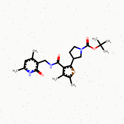 Cc1cc(C)c(CNC(=O)c2c(C3CCN(C(=O)OC(C)(C)C)C3)sc(C)c2C)c(=O)[nH]1